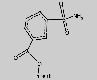 CCCCCOC(=O)c1cccc(S(N)(=O)=O)c1